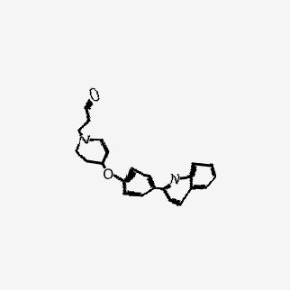 O=CCCN1CCC(Oc2ccc(-c3ccc4ccccc4n3)cc2)CC1